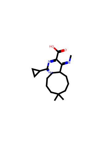 C/N=C(\C(=N/C(=N)C1CC1)C(=O)O)C1CCCCC(C)(C)CCC1